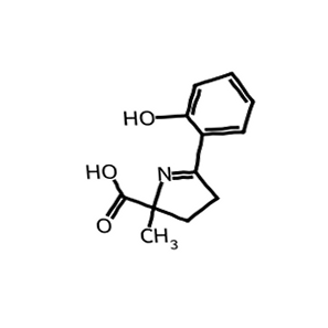 CC1(C(=O)O)CCC(c2ccccc2O)=N1